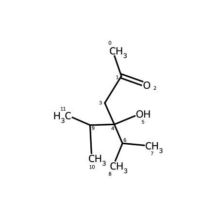 CC(=O)CC(O)(C(C)C)C(C)C